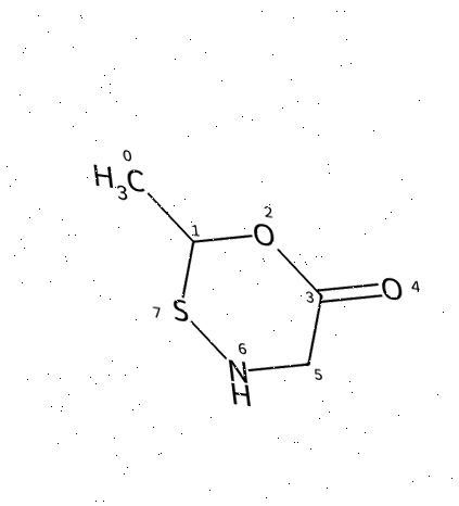 CC1OC(=O)CNS1